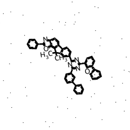 CC1(C)c2cc(-c3nc(-c4cccc(-c5ccccc5)c4)nc(-c4cccc5c4oc4ccccc45)n3)ccc2-c2ccc3nc(-c4ccccc4)oc3c21